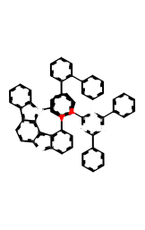 c1ccc(-c2nc(-c3ccccc3)nc(-c3cc(-c4ccccc4-c4ccccc4)ccc3-c3cccc4oc5ccc6c7ccccc7n(-c7ccccc7)c6c5c34)n2)cc1